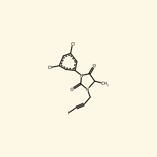 CC1C(=O)N(c2cc(Cl)cc(Cl)c2)C(=O)N1CC#CI